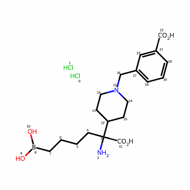 Cl.Cl.NC(CCCCB(O)O)(C(=O)O)C1CCN(Cc2cccc(C(=O)O)c2)CC1